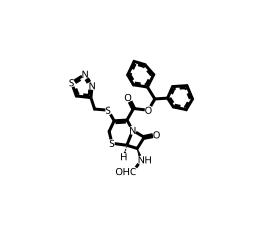 O=CN[C@@H]1C(=O)N2C(C(=O)OC(c3ccccc3)c3ccccc3)=C(SCc3csnn3)CS[C@H]12